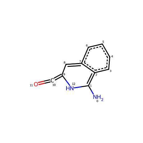 NC1=c2ccccc2=CC(=C=O)N1